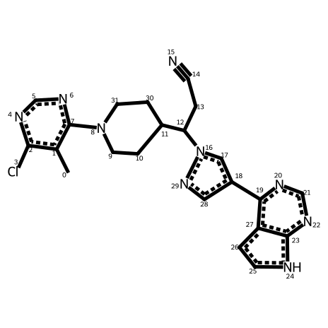 Cc1c(Cl)ncnc1N1CCC(C(CC#N)n2cc(-c3ncnc4[nH]ccc34)cn2)CC1